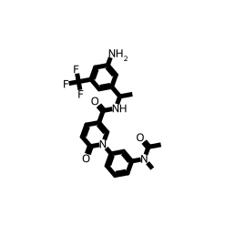 CC(=O)N(C)c1cccc(-n2cc(C(=O)NC(C)c3cc(N)cc(C(F)(F)F)c3)ccc2=O)c1